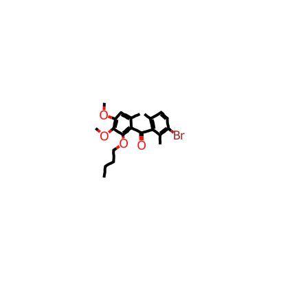 CCCCOc1c(OC)c(OC)cc(C)c1C(=O)c1c(C)ccc(Br)c1C